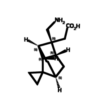 NC[C@@]1(CC(=O)O)[C@@H]2C[C@@H]3CC[C@H]1[C@H]2C31CC1